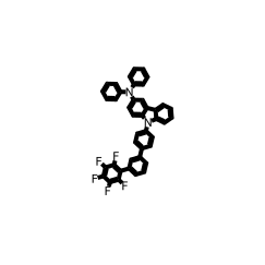 Fc1c(F)c(F)c(-c2cccc(-c3ccc(-n4c5ccccc5c5cc(N(c6ccccc6)c6ccccc6)ccc54)cc3)c2)c(F)c1F